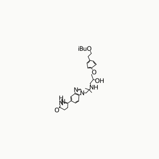 CC(C)COCCc1ccc(OCC(O)CNC(C)(C)Cn2cnc3cc(C4=NNC(=O)CC4)ccc32)cc1